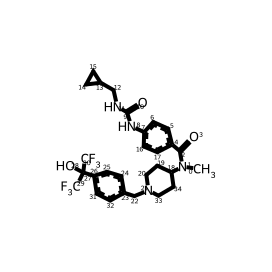 CN(C(=O)c1ccc(NC(=O)NCC2CC2)cc1)C1CCN(Cc2ccc(C(O)(C(F)(F)F)C(F)(F)F)cc2)CC1